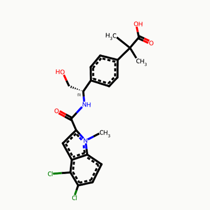 Cn1c(C(=O)N[C@H](CO)c2ccc(C(C)(C)C(=O)O)cc2)cc2c(Cl)c(Cl)ccc21